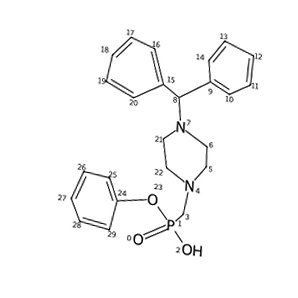 O=P(O)(CN1CCN(C(c2ccccc2)c2ccccc2)CC1)Oc1ccccc1